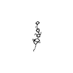 CCCCCC1CC[C@@H]2C[C@H](c3cc(F)c(-c4ccc(OCc5ccccc5)cc4)c(F)c3)CC[C@@H]2C1